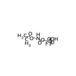 C=C(C)C(=O)OCCNC(=O)OCCC(F)(F)S(=O)(=O)O